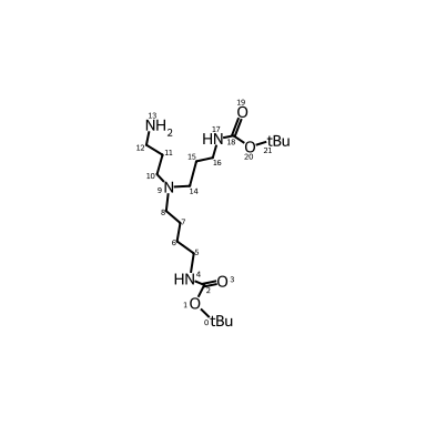 CC(C)(C)OC(=O)NCCCCN(CCCN)CCCNC(=O)OC(C)(C)C